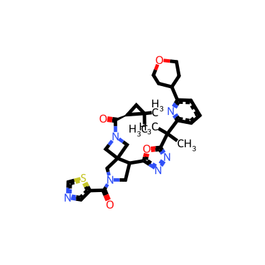 CC(C)(c1cccc(C2CCOCC2)n1)c1nnc(C2CN(C(=O)c3cncs3)CC23CN(C(=O)[C@H]2CC2(C)C)C3)o1